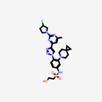 Cc1cc(-c2cn(-c3ccc(NS(=O)(=O)CCO)cc3N3CCC4(CC3)CC4)nn2)nc(N2CCC(F)C2)n1